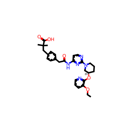 CCOc1cccnc1O[C@@H]1CCCN(c2nccc(NC(=O)Cc3ccc(CC(C)(C)C(=O)O)cc3)n2)C1